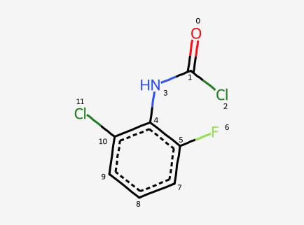 O=C(Cl)Nc1c(F)cccc1Cl